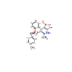 CCOC(=O)C1=C(C)NC2=C(C(=O)OC2)C1c1ccccc1OCc1ccc(C)cc1